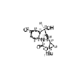 CC(C)(C)OC(=O)Nc1ccc(Cl)cc1[C@@](C)(O)C#CC1CC1